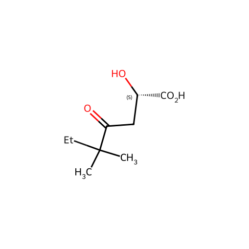 CCC(C)(C)C(=O)C[C@H](O)C(=O)O